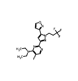 CCN(CC)c1nc(-c2cc(-c3ccon3)n(CCC(F)(F)F)n2)ncc1F